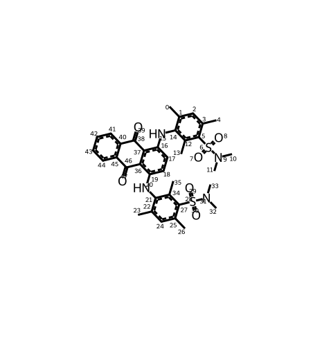 Cc1cc(C)c(S(=O)(=O)N(C)C)c(C)c1Nc1ccc(Nc2c(C)cc(C)c(S(=O)(=O)N(C)C)c2C)c2c1C(=O)c1ccccc1C2=O